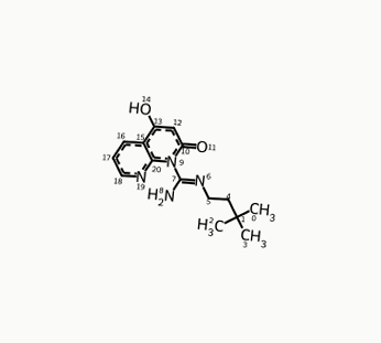 CC(C)(C)CCN=C(N)n1c(=O)cc(O)c2cccnc21